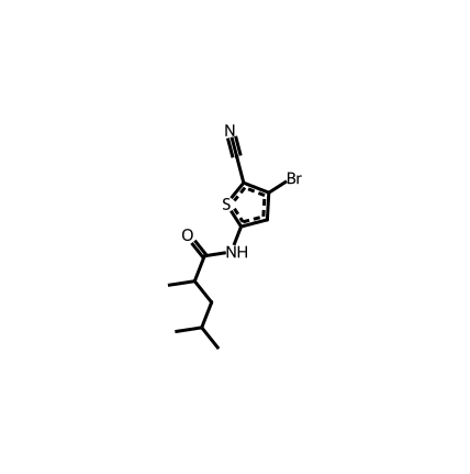 CC(C)CC(C)C(=O)Nc1cc(Br)c(C#N)s1